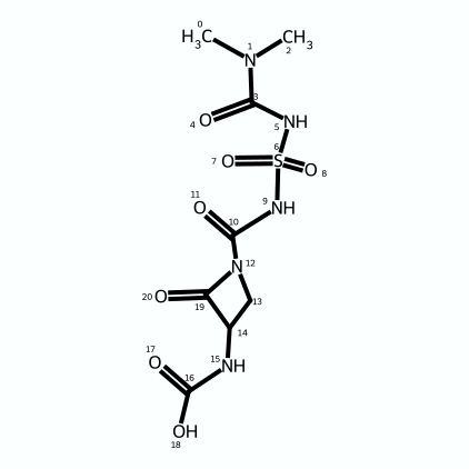 CN(C)C(=O)NS(=O)(=O)NC(=O)N1CC(NC(=O)O)C1=O